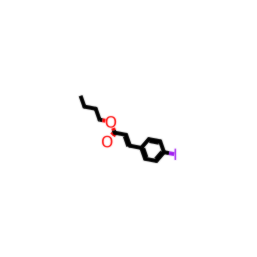 CCCCOC(=O)/C=C/c1ccc(I)cc1